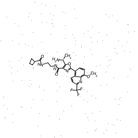 COc1ccc(-c2nc(C(=O)NCCNC(=O)C3CCC3)c([C@H](C)N)o2)c2ccc(C(F)(F)F)nc12